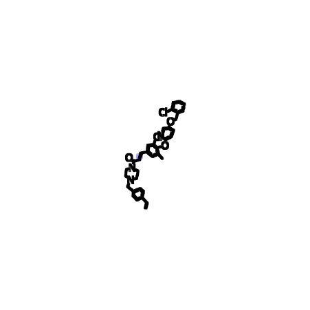 C=Cc1ccc(CN2CCN(C(=O)/C=C/c3cc(C)c(Oc4ccc(OCc5ccccc5Cl)cn4)c(Cl)c3)CC2)cc1